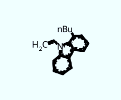 C=Cn1c2ccccc2c2cccc(CCCC)c21